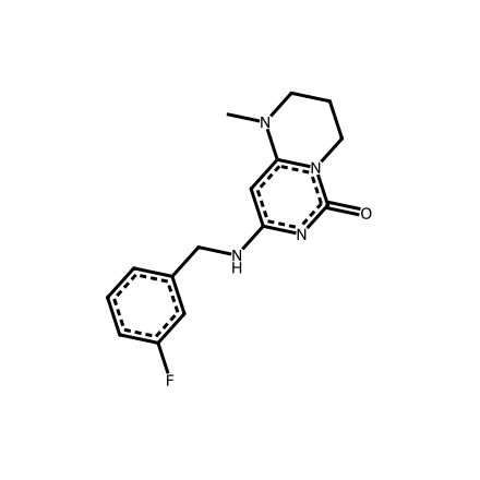 CN1CCCn2c1cc(NCc1cccc(F)c1)nc2=O